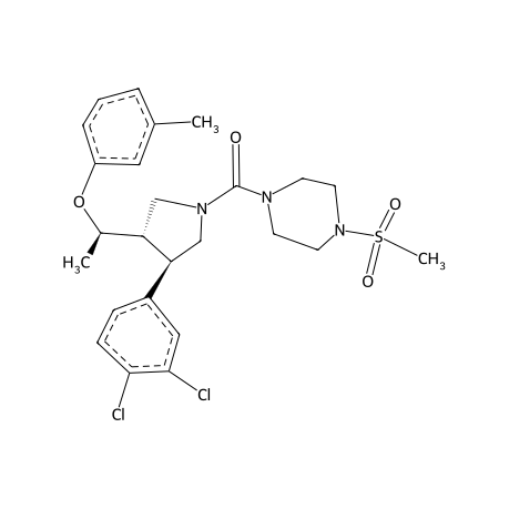 Cc1cccc(O[C@H](C)[C@@H]2CN(C(=O)N3CCN(S(C)(=O)=O)CC3)C[C@H]2c2ccc(Cl)c(Cl)c2)c1